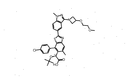 COCCOC1CN(c2nn(C)c3ccc(-c4nc5cc(C)c([C@H](OC(C)(C)C)C(=O)O)c(-c6ccc(Cl)cc6)c5s4)cc23)C1